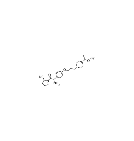 CC(C)OC(=O)N1CCC(CCCOc2ccc([C@H](N)C(=O)N3CCC[C@H]3C#N)cc2)CC1